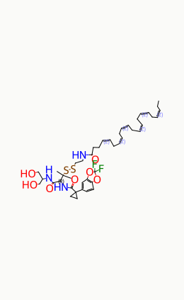 CC/C=C\C/C=C\C/C=C\C/C=C\C/C=C\C/C=C\CCC(=O)NCCSSC(C)(C)[C@H](NC(=O)C1(c2ccc3c(c2)OC(F)(F)O3)CC1)C(=O)NC(CO)CO